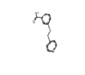 O=C(O)c1cccc(SCc2ccncc2)c1